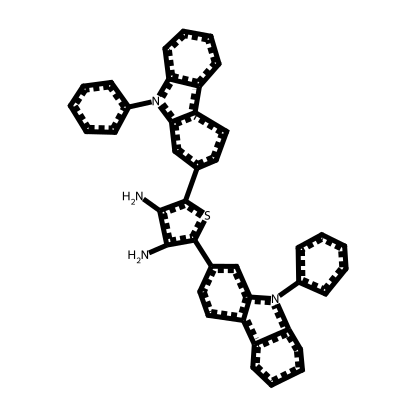 Nc1c(-c2ccc3c4ccccc4n(-c4ccccc4)c3c2)sc(-c2ccc3c4ccccc4n(-c4ccccc4)c3c2)c1N